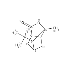 CC(C)(C)C1C2CC3C(=O)OC1(C)C3C2